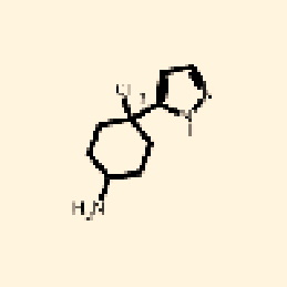 CC1(c2ccn[nH]2)CCC(N)CC1